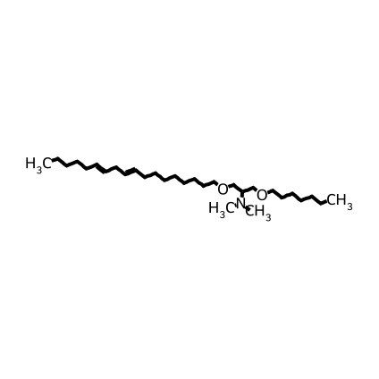 CCCCCC=CCC=CCCCCCCCCOCC(COCCCCCCC)N(C)C